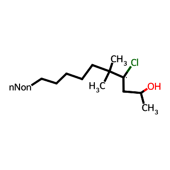 CCCCCCCCCCCCCCC(C)(C)[C](Cl)CC(C)O